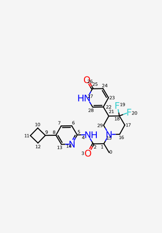 CC(C(=O)Nc1ccc(C2CCC2)cn1)N1CCC(F)(F)C(c2ccc(=O)[nH]c2)C1